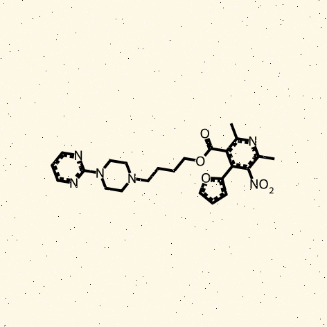 Cc1nc(C)c([N+](=O)[O-])c(-c2ccco2)c1C(=O)OCCCCN1CCN(c2ncccn2)CC1